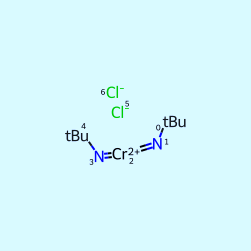 CC(C)(C)[N]=[Cr+2]=[N]C(C)(C)C.[Cl-].[Cl-]